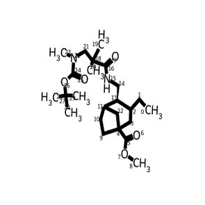 CCC1CC2(C(=O)OC)CCC(C2)[C@H]1CNC(=O)C(C)(C)CN(C)C(=O)OC(C)(C)C